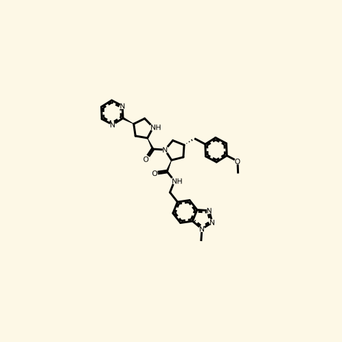 COc1ccc(C[C@@H]2C[C@@H](C(=O)NCc3ccc4c(c3)nnn4C)N(C(=O)[C@H]3C[C@@H](c4ncccn4)CN3)C2)cc1